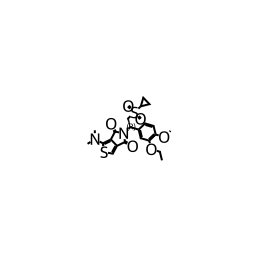 CCOc1cc([C@H](CS(=O)(=O)C2CC2)N2C(=O)c3csc(N(C)C)c3C2=O)ccc1OC